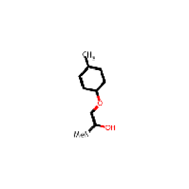 CNC(O)COC1CCC(C)CC1